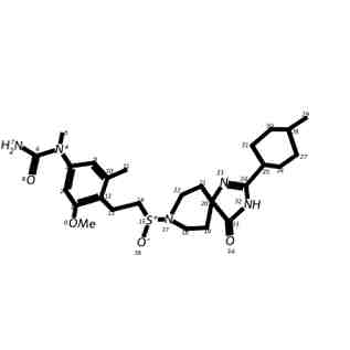 COc1cc(N(C)C(N)=O)cc(C)c1CC[S+]([O-])N1CCC2(CC1)N=C(C1CCC(C)CC1)NC2=O